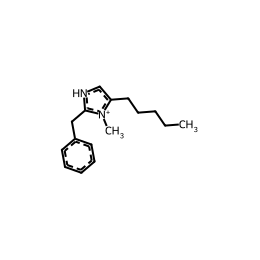 CCCCCc1c[nH]c(Cc2ccccc2)[n+]1C